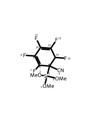 CO[Si](OC)(OC)C1(C#N)C(F)=C(F)C(F)=C(F)C1F